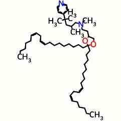 CCCCC/C=C\C/C=C\CCCCCCCCC1(CCCCCCCC/C=C\C/C=C\CCCCC)OCC(CCN(C)C[C@@H](C)CC(C)(C)c2ccncc2)O1